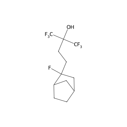 OC(CCC1(F)CC2CCC1C2)(C(F)(F)F)C(F)(F)F